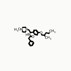 CCCC(C)COc1ccc(C(CN2CCN(C)CC2)NC(=O)Cc2ccccc2)cc1